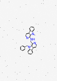 Cn1c2ccccc2c2ccnc(NCc3nccc4c5ccccc5n(Cc5ccccc5)c34)c21